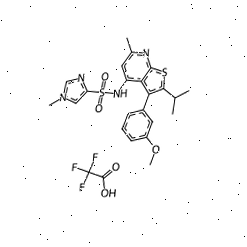 COc1cccc(-c2c(C(C)C)sc3nc(C)cc(NS(=O)(=O)c4cn(C)cn4)c23)c1.O=C(O)C(F)(F)F